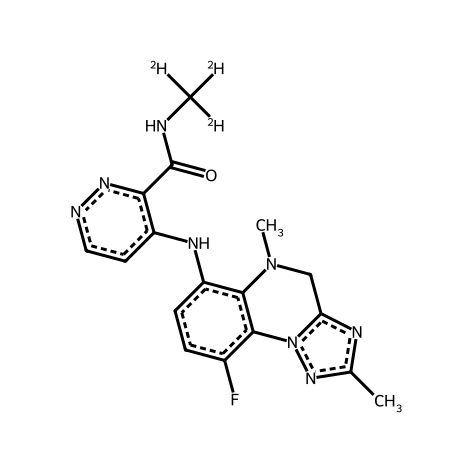 [2H]C([2H])([2H])NC(=O)c1nnccc1Nc1ccc(F)c2c1N(C)Cc1nc(C)nn1-2